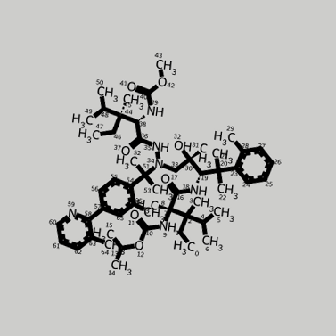 CCC(C)(C(C)C)[C@](C)(NC(=O)OC(C)C)C(=O)N[C@@H](C(C)(C)c1ccccc1C)[C@@](C)(O)CN(NC(=O)[C@@H](NC(=O)OC)[C@@](C)(CC)C(C)C)C(C)(C)c1ccc(-c2ncccc2C)cc1C